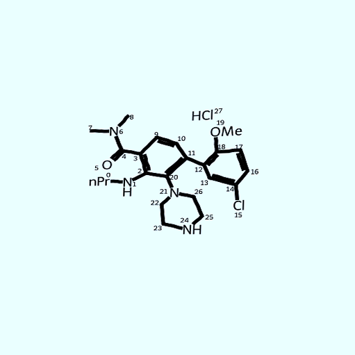 CCCNc1c(C(=O)N(C)C)ccc(-c2cc(Cl)ccc2OC)c1N1CCNCC1.Cl